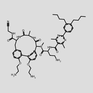 CCCCc1ccc(-c2nc(C)c(C(=O)NC(CCN)C(=O)N(C)C3C(=O)NC(C)C(=O)NC(C(=O)NCC#N)Cc4ccc(OCCN)c(c4)-c4cc3ccc4OCCN)c(C)n2)cc1CCCC